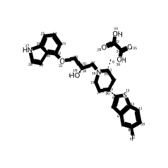 C[C@@H]1C[C@H](c2cc3cc(F)ccc3s2)CCN1C[C@H](O)COc1cccc2[nH]ccc12.O=C(O)C(=O)O